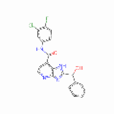 O=C(Nc1ccc(F)c(Cl)c1)c1ccnc2nc(C(O)c3ccccc3)[nH]c12